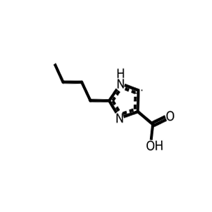 CCCCc1nc(C(=O)O)[c][nH]1